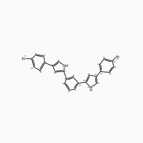 CC(=O)c1ccc(-c2c[nH]c(-c3cccc(-c4cc(-c5ccc(C(C)=O)cc5)c[nH]4)c3)c2)cc1